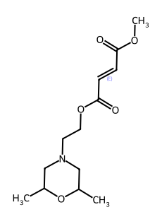 COC(=O)/C=C/C(=O)OCCN1CC(C)OC(C)C1